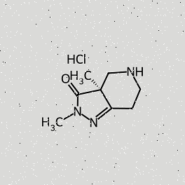 CN1N=C2CCNC[C@]2(C)C1=O.Cl